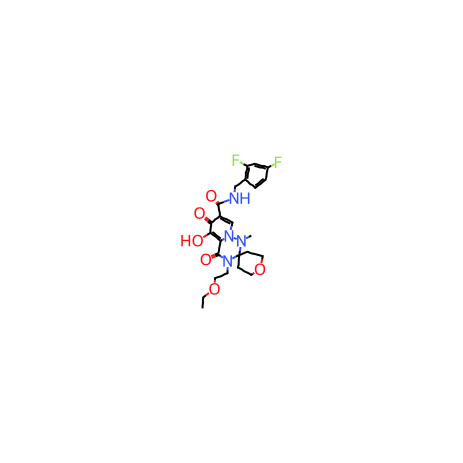 CCOCCN1C(=O)c2c(O)c(=O)c(C(=O)NCc3ccc(F)cc3F)cn2N(C)C12CCOCC2